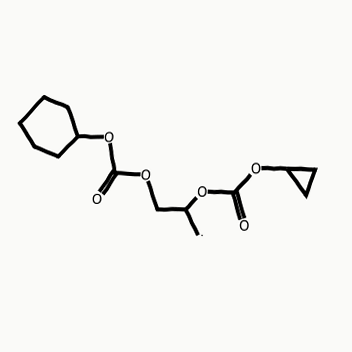 [CH2]C(COC(=O)OC1CCCCC1)OC(=O)OC1CC1